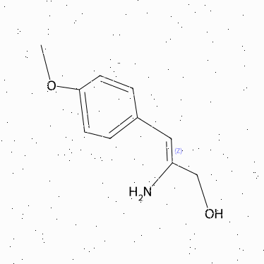 COc1ccc(/C=C(\N)CO)cc1